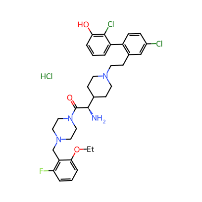 CCOc1cccc(F)c1CN1CCN(C(=O)[C@H](N)C2CCN(CCc3cc(Cl)ccc3-c3cccc(O)c3Cl)CC2)CC1.Cl